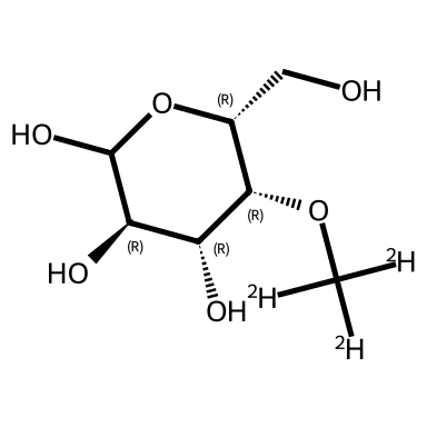 [2H]C([2H])([2H])O[C@@H]1[C@H](O)[C@@H](O)C(O)O[C@@H]1CO